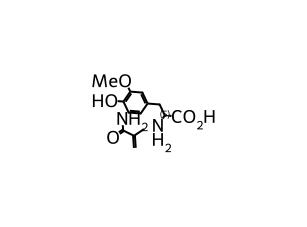 C=C(C)C(N)=O.COc1cc(C[C@H](N)C(=O)O)ccc1O